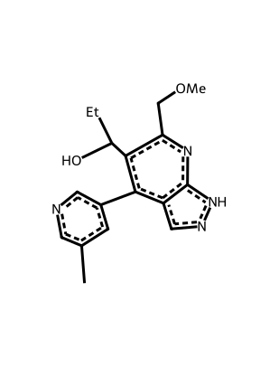 CCC(O)c1c(COC)nc2[nH]ncc2c1-c1cncc(C)c1